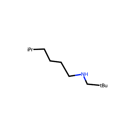 CC(C)CCCCNCC(C)(C)C